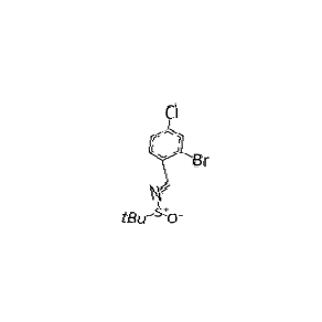 CC(C)(C)[S+]([O-])/N=C/c1ccc(Cl)cc1Br